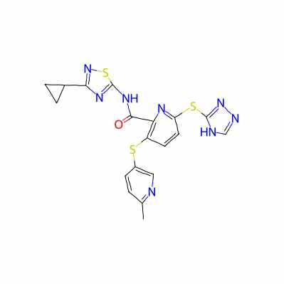 Cc1ccc(Sc2ccc(Sc3nnc[nH]3)nc2C(=O)Nc2nc(C3CC3)ns2)cn1